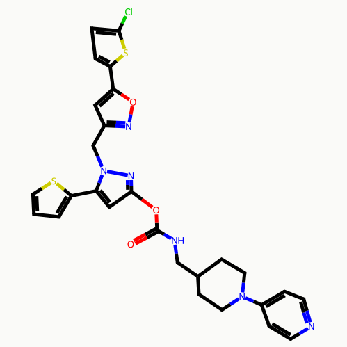 O=C(NCC1CCN(c2ccncc2)CC1)Oc1cc(-c2cccs2)n(Cc2cc(-c3ccc(Cl)s3)on2)n1